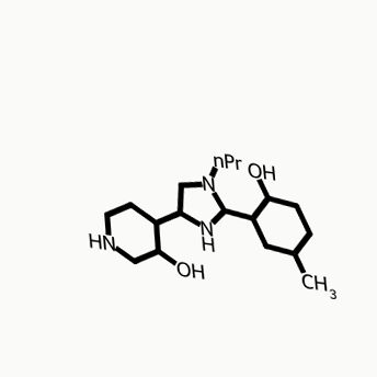 CCCN1CC(C2CCNCC2O)NC1C1CC(C)CCC1O